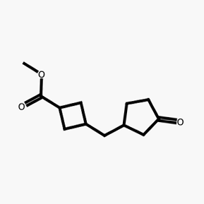 COC(=O)C1CC(CC2CCC(=O)C2)C1